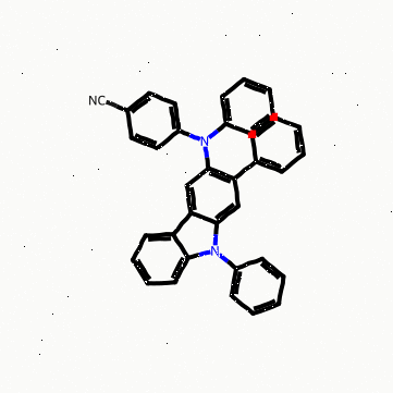 N#Cc1ccc(N(c2ccccc2)c2cc3c4ccccc4n(-c4ccccc4)c3cc2-c2ccccc2)cc1